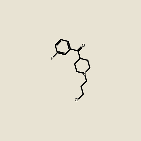 O=C(c1cccc(F)c1)C1CCN(CCCCl)CC1